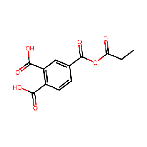 CCC(=O)OC(=O)c1ccc(C(=O)O)c(C(=O)O)c1